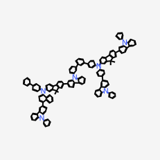 CC1(C)c2cc(-c3ccc4c5ccccc5n(-c5ccccc5)c4c3)ccc2-c2ccc(N(c3ccc(-c4cccc(-c5cccc(-n6c7ccccc7c7ccc(-c8ccc9c(c8)C(C)(C)c8cc(N(c%10ccc(-c%11ccccc%11)cc%10)c%10ccc(-c%11ccc%12c(c%11)c%11ccccc%11n%12-c%11ccccc%11)c%11ccccc%10%11)ccc8-9)cc76)c5)c4)cc3)c3ccc(-c4ccc5c(c4)c4ccccc4n5-c4ccccc4)cc3)cc21